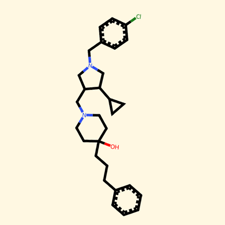 OC1(CCCc2ccccc2)CCN(CC2CN(Cc3ccc(Cl)cc3)CC2C2CC2)CC1